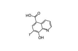 O=C(O)c1cc(I)c(O)c2ncccc12